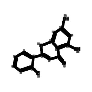 O=c1cc(-c2ccccc2Cl)oc2cc(O)cc(O)c12